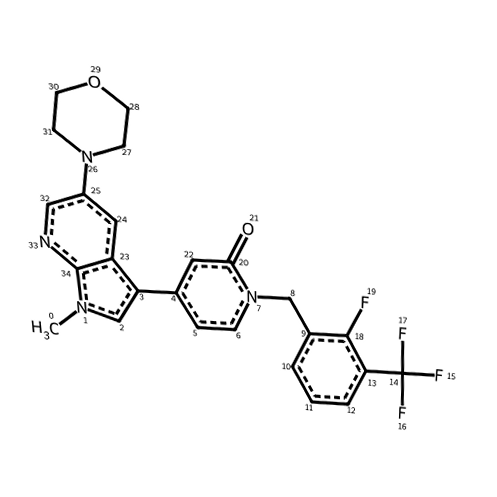 Cn1cc(-c2ccn(Cc3cccc(C(F)(F)F)c3F)c(=O)c2)c2cc(N3CCOCC3)cnc21